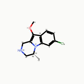 COc1c2n(c3cc(Cl)ccc13)[C@H](C)CNC2